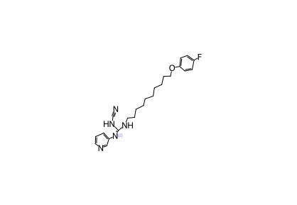 N#CN/C(=N\c1cccnc1)NCCCCCCCCCCOc1ccc(F)cc1